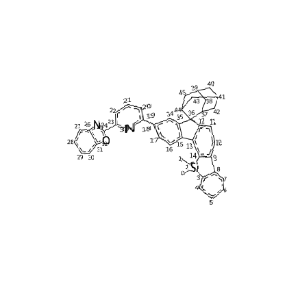 C[Si]1(C)c2ccccc2-c2ccc3c(c21)-c1ccc(-c2cccc(-c4nc5ccccc5o4)n2)cc1C31C2CC3CC(C2)CC1C3